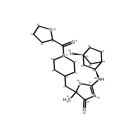 CC1(CC2CCN(C(=O)C3CCCO3)CC2)SC(N[C@H]2C[C@@H]3CCC2C3)=NC1=O